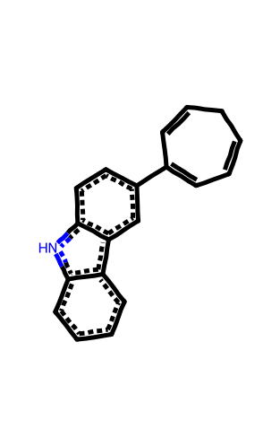 C1=CCC=CC(c2ccc3[nH]c4ccccc4c3c2)=C1